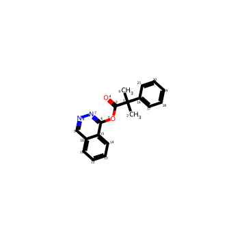 CC(C)(C(=O)Oc1nncc2ccccc12)c1ccccc1